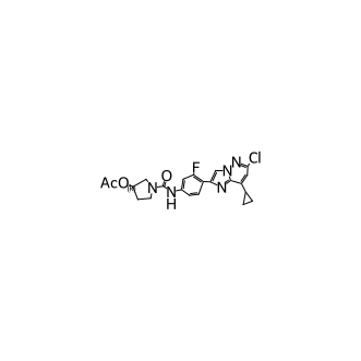 CC(=O)O[C@@H]1CCN(C(=O)Nc2ccc(-c3cn4nc(Cl)cc(C5CC5)c4n3)c(F)c2)C1